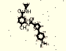 Cc1ccc(C(=O)NC2CC2)cc1NC(=O)c1ccc(-c2ccc(N(I)I)cc2)s1